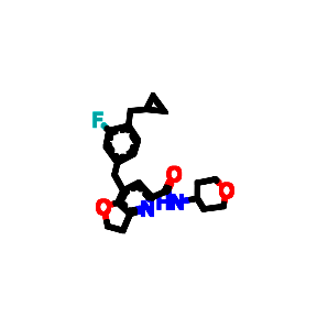 O=C(NC1CCOCC1)c1cc(Cc2ccc(CC3CC3)c(F)c2)c2c(n1)CCO2